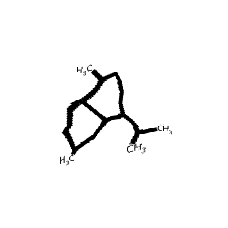 CC1CCC2C(C)CCC(C(C)C)C2C1